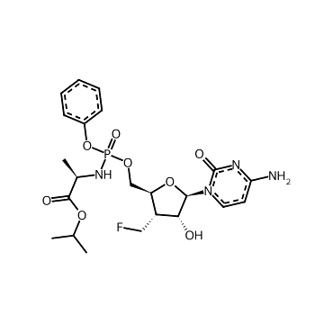 CC(C)OC(=O)[C@@H](C)NP(=O)(OC[C@H]1O[C@@H](n2ccc(N)nc2=O)[C@H](O)[C@@H]1CF)Oc1ccccc1